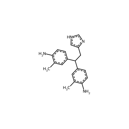 Cc1cc(C(Cc2c[nH]cn2)c2ccc(N)c(C)c2)ccc1N